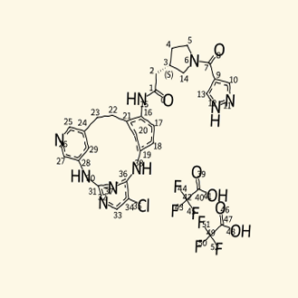 O=C(C[C@@H]1CCN(C(=O)c2cn[nH]c2)C1)Nc1ccc2cc1CCc1cncc(c1)Nc1ncc(Cl)c(n1)N2.O=C(O)C(F)(F)F.O=C(O)C(F)(F)F